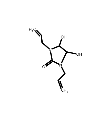 C=CCN1C(=O)N(CC=C)C(O)C1O